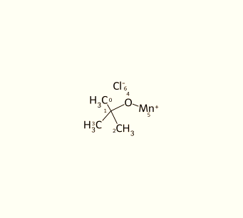 CC(C)(C)[O][Mn+].[Cl-]